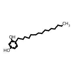 CCCCCCCCCCCCCCCc1ccc(O)cc1O